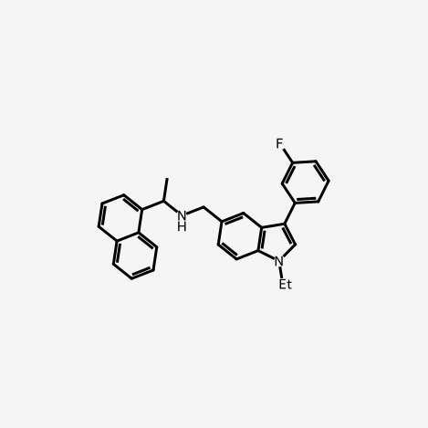 CCn1cc(-c2cccc(F)c2)c2cc(CNC(C)c3cccc4ccccc34)ccc21